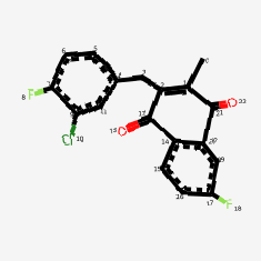 CC1=C(Cc2ccc(F)c(Cl)c2)C(=O)c2ccc(F)cc2C1=O